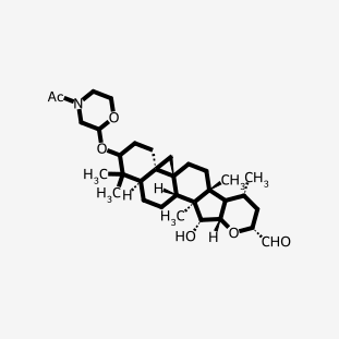 CC(=O)N1CCOC(OC2CC[C@]34C[C@]35CC[C@]3(C)C6[C@H](C)C[C@H](C=O)O[C@@H]6[C@H](O)[C@@]3(C)[C@@H]5CC[C@H]4C2(C)C)C1